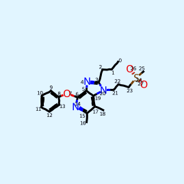 CCCc1nc2c(Oc3ccccc3)nc(C)c(C)c2n1CCCS(C)(=O)=O